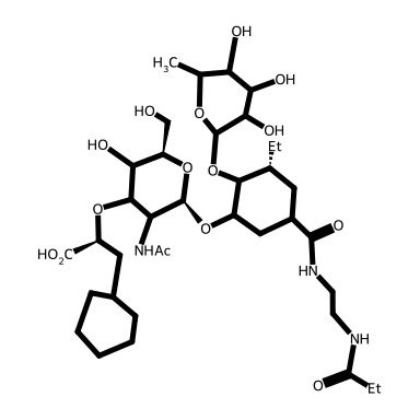 CCC(=O)NCCNC(=O)C1CC(O[C@@H]2O[C@H](CO)C(O)C(O[C@@H](CC3CCCCC3)C(=O)O)C2NC(C)=O)C(OC2OC(C)C(O)C(O)C2O)[C@H](CC)C1